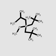 CO[Si](CC(C)C)(CC(C)(C)C)CC(C)(C)C